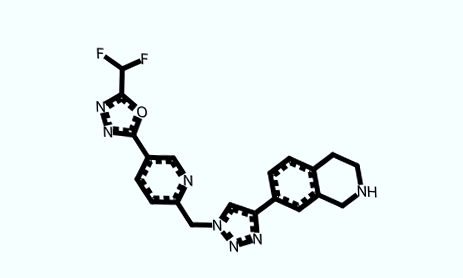 FC(F)c1nnc(-c2ccc(Cn3cc(-c4ccc5c(c4)CNCC5)nn3)nc2)o1